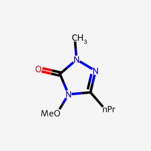 CCCc1nn(C)c(=O)n1OC